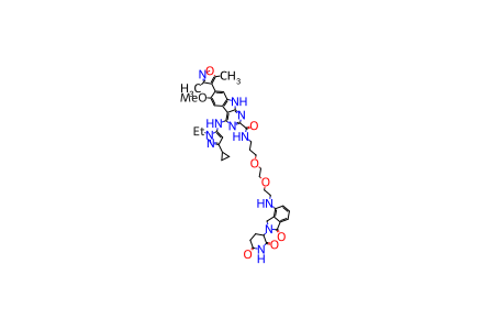 CCn1nc(C2CC2)cc1Nc1nc(C(=O)NCCCOCCOCCNc2cccc3c2CN(C2CCC(=O)NC2=O)C3=O)nc2[nH]c3cc(-c4c(C)noc4C)c(OC)cc3c12